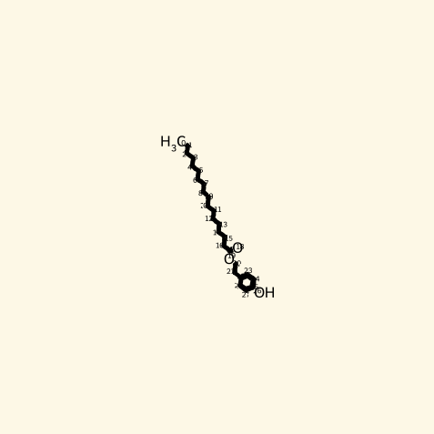 CCCCCCCCCCCCCCCCCC(=O)OCCc1ccc(O)cc1